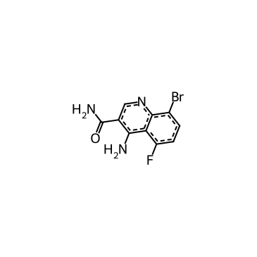 NC(=O)c1cnc2c(Br)ccc(F)c2c1N